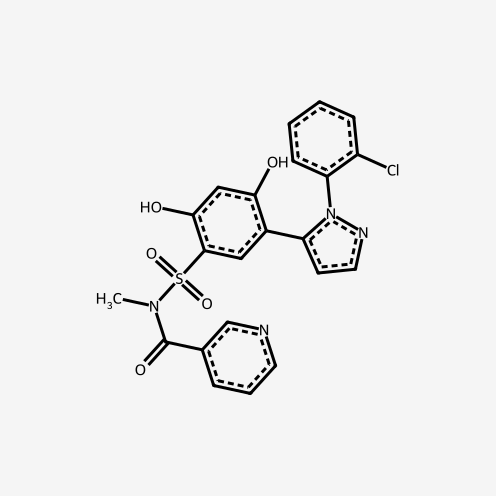 CN(C(=O)c1cccnc1)S(=O)(=O)c1cc(-c2ccnn2-c2ccccc2Cl)c(O)cc1O